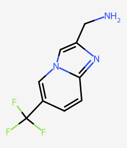 NCc1cn2cc(C(F)(F)F)ccc2n1